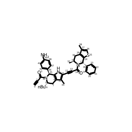 C#CC(=O)N1[C@@H](CCCC)Cc2c([nH]c(C#CC(=O)N3[C@@H](c4ccccc4)c4scc(C)c4C[C@@H]3C)c2C)[C@@H]1c1ccc(N)cc1